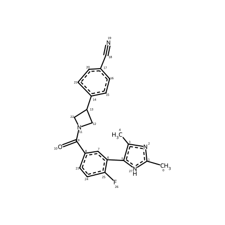 Cc1nc(C)c(-c2cc(C(=O)N3CC(c4ccc(C#N)cc4)C3)ccc2F)[nH]1